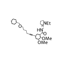 CCN1CCC[C@H]1CNC(=O)c1cc(C#CCCCCOCc2ccccc2)cc(OC)c1OC